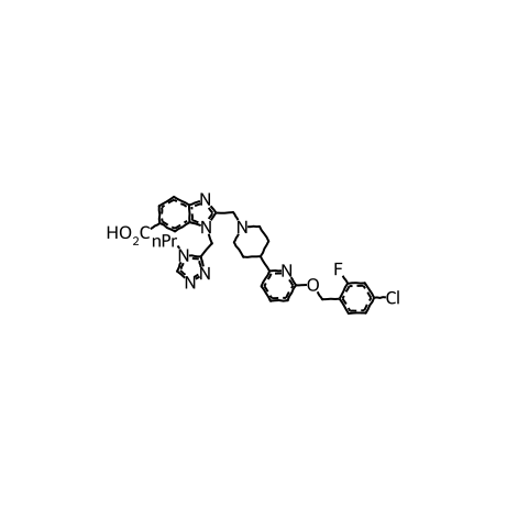 CCCn1cnnc1Cn1c(CN2CCC(c3cccc(OCc4ccc(Cl)cc4F)n3)CC2)nc2ccc(C(=O)O)cc21